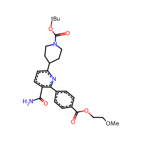 COCCOC(=O)c1ccc(-c2nc(C3CCN(C(=O)OC(C)(C)C)CC3)ccc2C(N)=O)cc1